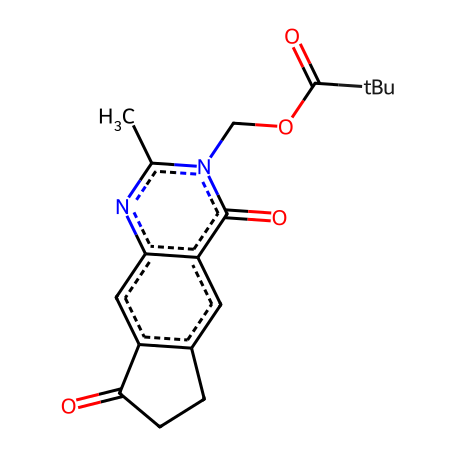 Cc1nc2cc3c(cc2c(=O)n1COC(=O)C(C)(C)C)CCC3=O